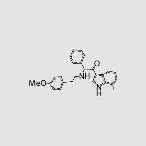 COc1ccc(CCNC(C(=O)c2c[nH]c3c(C)cccc23)c2ccccc2)cc1